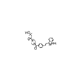 CC(C)(O)CC(=O)N1CCN(C(=O)c2ccc(/C=C/c3n[nH]c4ccccc34)cc2)CC1